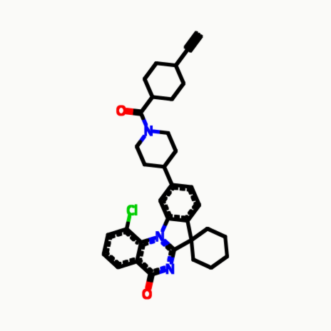 C#CC1CCC(C(=O)N2CCC(c3ccc4c(c3)-n3c(nc(=O)c5cccc(Cl)c53)C43CCCCC3)CC2)CC1